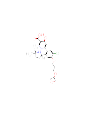 CC1(C)CC[C@@H]2c3cc(OCCCOC4COC4)c(Cl)cc3-c3cc(=O)c(C(=O)O)cn3N21